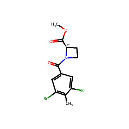 COC(=O)[C@H]1CCN1C(=O)c1cc(Br)c(C)c(Br)c1